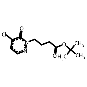 CC(C)(C)OC(=O)CCCn1nccc(Cl)c1=O